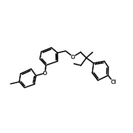 CCC(C)(COCc1cccc(Oc2ccc(C)cc2)c1)c1ccc(Cl)cc1